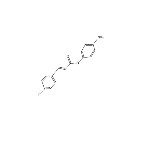 Nc1ccc(OC(=O)C=Cc2ccc(F)cc2)cc1